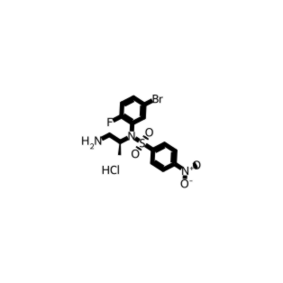 C[C@@H](CN)N(c1cc(Br)ccc1F)S(=O)(=O)c1ccc([N+](=O)[O-])cc1.Cl